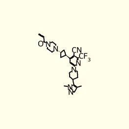 C=CC(=O)N1CCN([C@H]2C[C@H](c3cc(N4CCC(c5c(C)cnn5C)CC4)nc(C(F)(F)F)c3C#N)C2)CC1